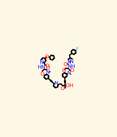 CN1C(=O)C(NC(=O)c2cc(Oc3ccccc3)ccn2)COc2ccc(C#Cc3cccc(CC4OCC4(O)C#Cc4ccc5c(c4)N(C)C(=O)C(NC(=O)n4cc(Cc6ccc(F)cc6)cn4)CO5)n3)cc21